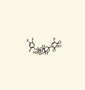 O=c1[nH]c(=O)n([C@H]2C[C@@H]3O[PH](O)(OCc4cc(F)c(F)cc4F)OC[C@H]3O2)cc1F